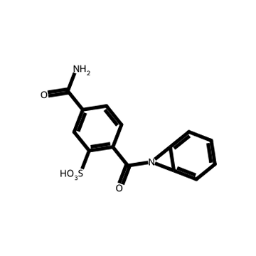 NC(=O)c1ccc(C(=O)N2c3ccccc32)c(S(=O)(=O)O)c1